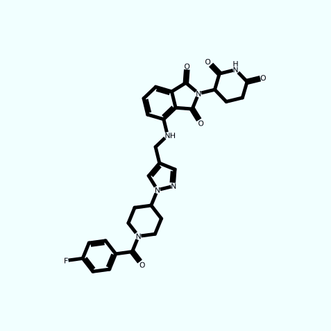 O=C1CCC(N2C(=O)c3cccc(NCc4cnn(C5CCN(C(=O)c6ccc(F)cc6)CC5)c4)c3C2=O)C(=O)N1